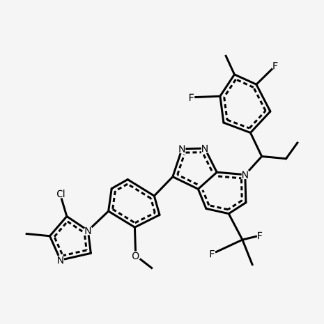 CCC(c1cc(F)c(C)c(F)c1)n1cc(C(C)(F)F)cc2c(-c3ccc(-n4cnc(C)c4Cl)c(OC)c3)nnc1-2